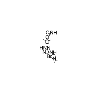 CNC(=O)COc1c(C)cc(-c2nc3c(NC4CCN(C(C)C)CC4)c(Br)cnc3[nH]2)cc1C